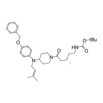 CC(C)=CCN(c1ccc(OCc2ccccc2)cc1)C1CCN(C(=O)C[C@@H](C)CCNC(=O)OC(C)(C)C)CC1